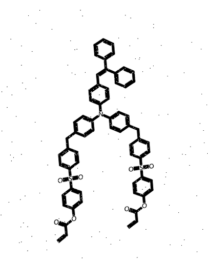 C=CC(=O)Oc1ccc(S(=O)(=O)c2ccc(Cc3ccc(N(c4ccc(C=C(c5ccccc5)c5ccccc5)cc4)c4ccc(Cc5ccc(S(=O)(=O)c6ccc(OC(=O)C=C)cc6)cc5)cc4)cc3)cc2)cc1